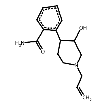 C=CCN1CCC(c2ccccc2C(N)=O)C(O)C1